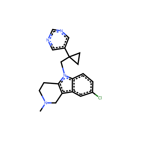 CN1CCc2c(c3cc(Cl)ccc3n2CC2(c3cncnc3)CC2)C1